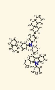 C1=Cc2cc(-c3cccc(N(c4ccc(-c5ccc6c(ccc7ccccc76)c5)cc4)c4ccc(-c5cccc6ccccc56)cc4)c3)c3c4ccccc4n(-c4ccccc4)c3c2CC1